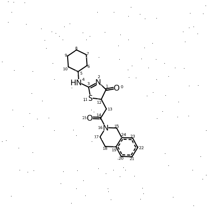 O=C1N=C(NC2CCCCC2)SC1CC(=O)N1CCc2ccccc2C1